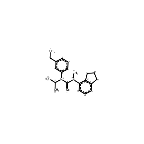 CCc1cccc(N(C(=N)N(C)c2cccc3c2CCC3)C(C)C)c1